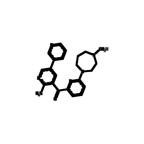 Nc1ncc(-c2cccnc2)cc1C(=O)c1cccc(N2CCCN(C(=O)O)CC2)n1